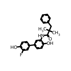 CC(C)(Cc1ccccc1)C(=O)Nc1cc(-c2ccc(O)c(F)c2)ccc1O